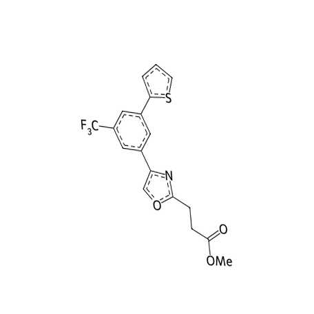 COC(=O)CCc1nc(-c2cc(-c3cccs3)cc(C(F)(F)F)c2)co1